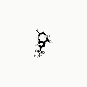 C[C@H]1CNC(=O)c2cc(S(N)(=O)=O)sc2S1